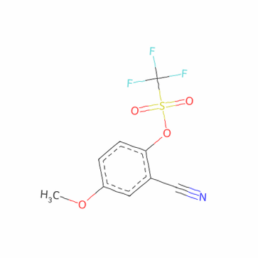 COc1ccc(OS(=O)(=O)C(F)(F)F)c(C#N)c1